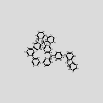 c1ccc(-c2cccc(-c3cccc(N(c4ccc(-c5cccc6c5oc5ccccc56)cc4)c4ccc(C5(c6ccccc6)c6ccccc6-c6ccccc65)cc4)c3)c2)cc1